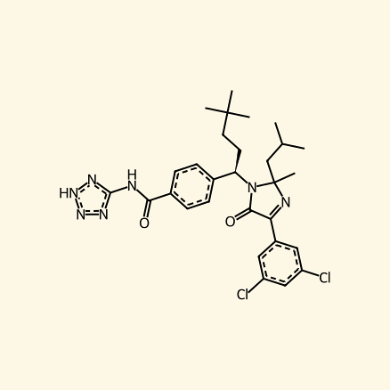 CC(C)CC1(C)N=C(c2cc(Cl)cc(Cl)c2)C(=O)N1[C@H](CCC(C)(C)C)c1ccc(C(=O)Nc2nn[nH]n2)cc1